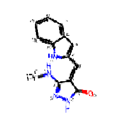 CC(C)NC1=NNC(=O)C1=Cc1cc2ccccc2[nH]1